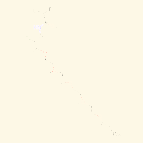 CCC(CC)C(=O)NCC(F)C(C)OCCOCCOCCOCCOCCNC